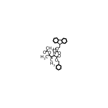 CC(=O)O[C@@H](C)[C@H](C)[C@H](NC(=O)OCC1c2ccccc2-c2ccccc21)C(=O)OCc1ccccc1